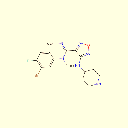 CO/N=C(/c1nonc1NC1CCNCC1)N(C=O)c1ccc(F)c(Br)c1